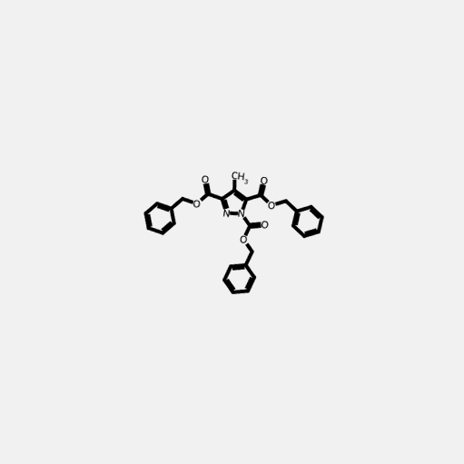 Cc1c(C(=O)OCc2ccccc2)nn(C(=O)OCc2ccccc2)c1C(=O)OCc1ccccc1